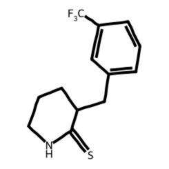 FC(F)(F)c1cccc(CC2CCCNC2=S)c1